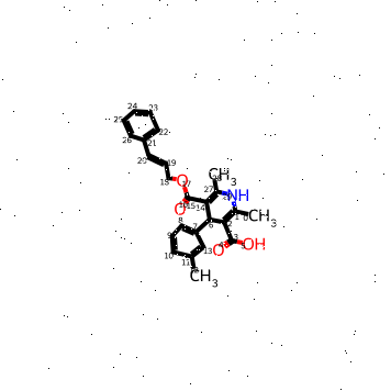 CC1=C(C(=O)O)C(c2cccc(C)c2)C(C(=O)OCC=Cc2ccccc2)=C(C)N1